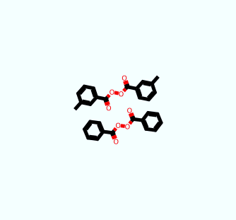 Cc1cccc(C(=O)OOC(=O)c2cccc(C)c2)c1.O=C(OOC(=O)c1ccccc1)c1ccccc1